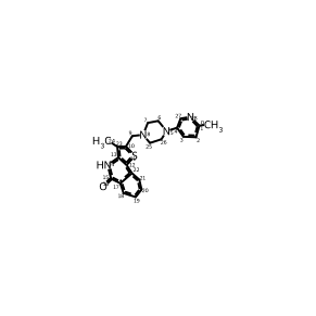 Cc1ccc(N2CCN(Cc3sc4c([nH]c(=O)c5ccccc54)c3C)CC2)cn1